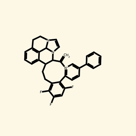 C=C1C2C(CCc3c(F)c(F)cc(F)c3-c3ccc(-c4ccccc4)c[n+]31)c1cccc3c1C1N(C=CN21)CC3